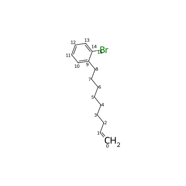 C=CCCCCCCCc1ccccc1Br